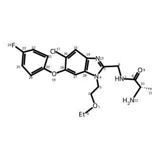 CCOCCn1c(CNC(=O)[C@H](C)N)nc2cc(Cl)c(Oc3ccc(F)cc3)cc21